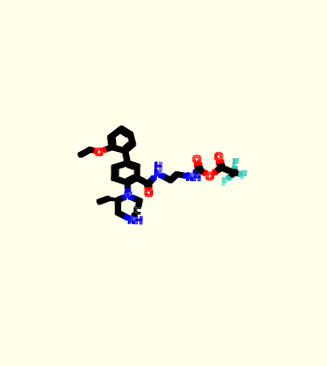 CCOc1ccccc1-c1ccc(N2CCNC[C@H]2CC)c(C(=O)NCCNC(=O)OC(=O)C(F)(F)F)c1